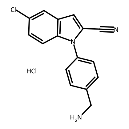 Cl.N#Cc1cc2cc(Cl)ccc2n1-c1ccc(CN)cc1